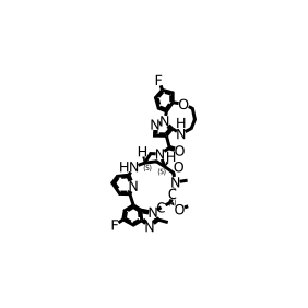 CO[C@H]1CN(C)C(=O)[C@@H]2C[C@@H](CN2C(=O)c2cnn3c2NCCCOc2cc(F)ccc2-3)Nc2cccc(n2)-c2cc(F)cc3nc(C)n(c23)C1